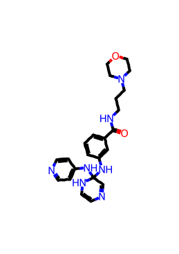 O=C(NCCCN1CCOCC1)c1cccc(NC2(Nc3ccncc3)C=NC=CN2)c1